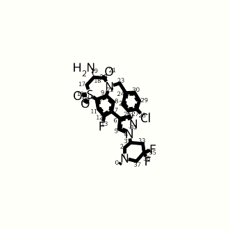 CN1CC(n2cc(-c3cc4c(cc3F)S(=O)(=O)C[C@H](N)C(=O)N4Cc3ccc(Cl)cc3)cn2)CC(F)(F)C1